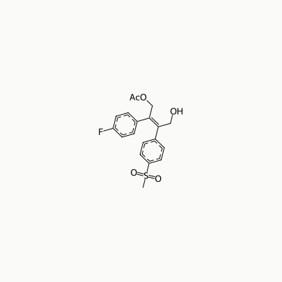 CC(=O)OCC(=C(CO)c1ccc(S(C)(=O)=O)cc1)c1ccc(F)cc1